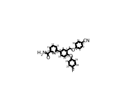 N#Cc1ccc(OCc2cc(-c3cccc(C(N)=O)n3)ccc2Oc2ccc(F)cc2)cc1